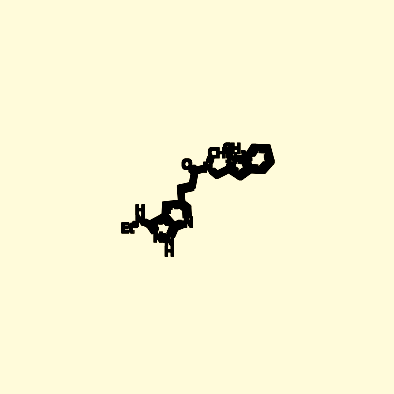 CCNc1n[nH]c2ncc(C=CC(=O)N(C)Cc3cc4ccccc4n3C)cc12